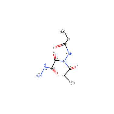 CCC(=O)NN(C(=O)CC)C(=O)C(=O)NN